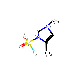 CC1=CN(C)CN1S(=O)(=O)F